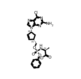 C[C@H](NP(=O)(OC[C@@H]1C=C[C@H](n2cnc3c(Cl)nc(N)nc32)C1)Oc1ccccc1)C(=O)O